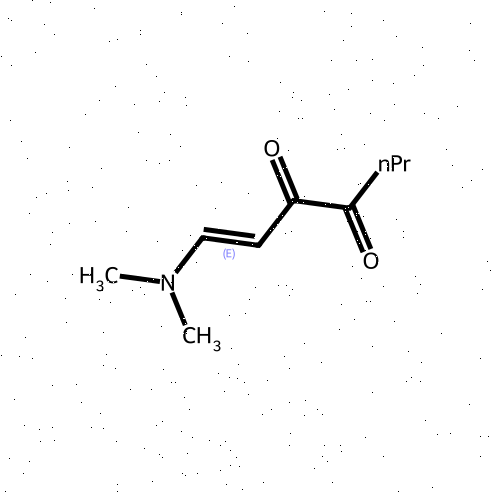 CCCC(=O)C(=O)/C=C/N(C)C